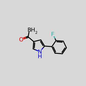 BC(=O)c1c[nH]c(-c2ccccc2F)c1